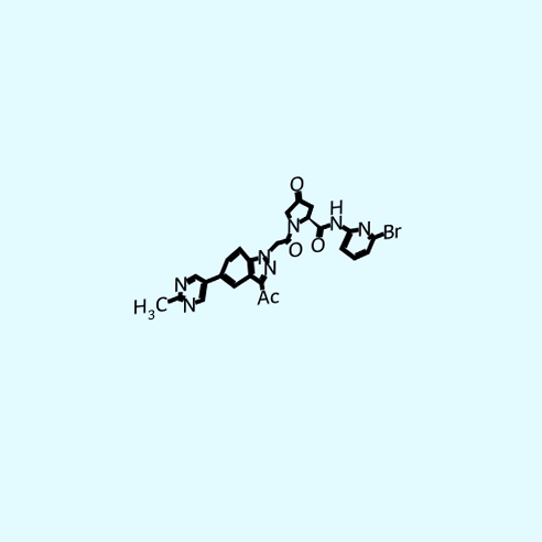 CC(=O)c1nn(CC(=O)N2CC(=O)C[C@H]2C(=O)Nc2cccc(Br)n2)c2ccc(-c3cnc(C)nc3)cc12